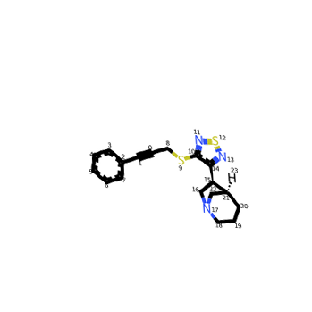 C(#Cc1ccccc1)CSc1nsnc1[C@@H]1CN2CCC[C@H]1C2